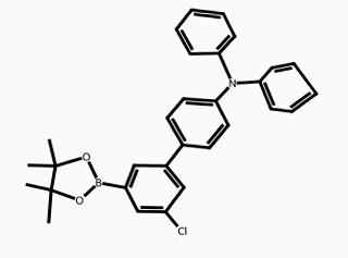 CC1(C)OB(c2cc(Cl)cc(-c3ccc(N(c4ccccc4)c4ccccc4)cc3)c2)OC1(C)C